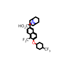 O=C(O)C1CC2CCCC(C1)N2Cc1ccc2c(C(F)(F)F)c(OC3CCC(C(F)(F)F)CC3)ccc2c1